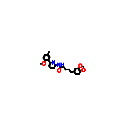 COc1ccc(C)cc1-c1cccc(NC(=O)CCCCc2ccc3c(c2)OCO3)n1